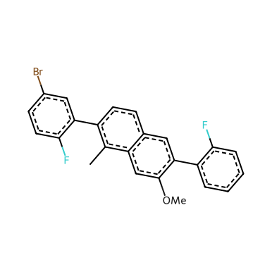 COc1cc2c(C)c(-c3cc(Br)ccc3F)ccc2cc1-c1ccccc1F